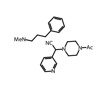 CC(=O)N1CCN(C(C#N)c2cccnc2)CC1.CNCCCc1ccccc1